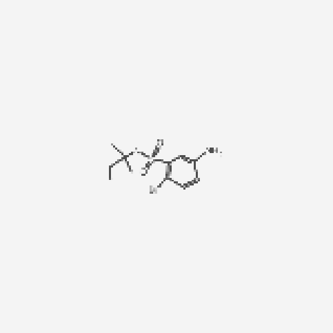 CCC(C)(C)NS(=O)(=O)c1cc(N)ccc1Br